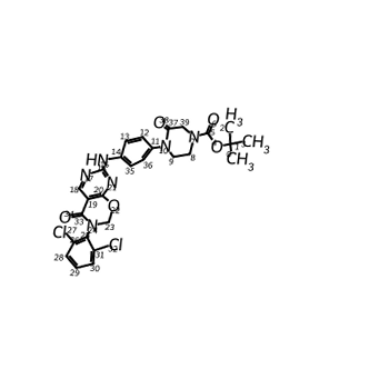 CC(C)(C)OC(=O)N1CCN(c2ccc(Nc3ncc4c(n3)OCN(c3c(Cl)cccc3Cl)C4=O)cc2)C(=O)C1